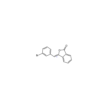 O=C1O/C(=C\c2cccc(Br)c2)c2ccccc21